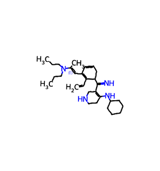 C=CC1=C(/C=C(\C)N(CCC)CCC)C=CCC1C(=N)C1=C(NC2CCCCC2)CCNC1